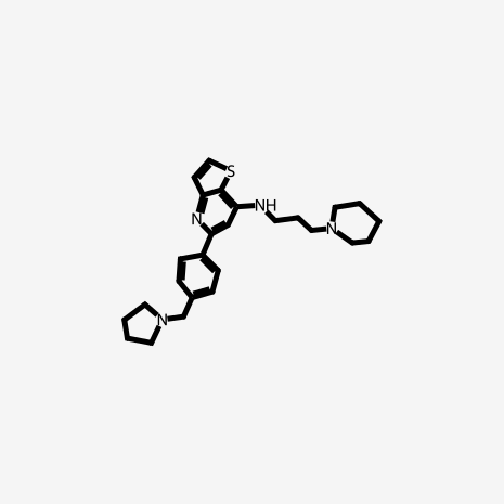 c1cc2nc(-c3ccc(CN4CCCC4)cc3)cc(NCCCN3CCCCC3)c2s1